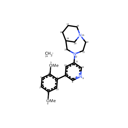 COc1ccc(OC)c(-c2cncc(N3CCN4CCCC(C4)C3)c2)c1.[CH2]